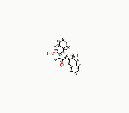 CC(C(=O)C(C)C1CC2CCCCC2CC1O)C1CC2CCCCC2CC1O